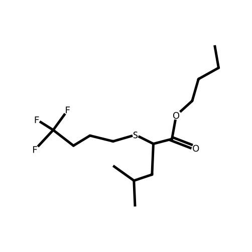 CCCCOC(=O)C(CC(C)C)SCCCC(F)(F)F